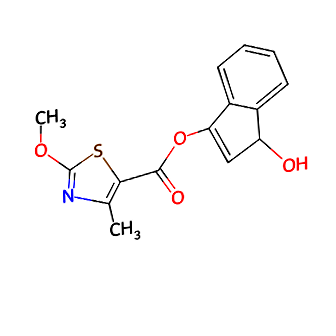 COc1nc(C)c(C(=O)OC2=CC(O)c3ccccc32)s1